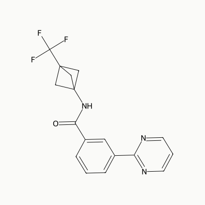 O=C(NC12CC(C(F)(F)F)(C1)C2)c1cccc(-c2ncccn2)c1